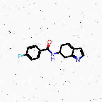 O=C(NC1CC=C2C=CN=C2C1)c1ccc(F)cc1